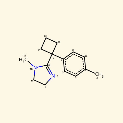 Cc1ccc(C2(C3=NCCN3C)CCC2)cc1